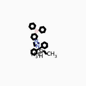 CC=C[SiH](C)C(c1ccccc1)(c1ccccc1)n1ccnc1.c1ccc(B(c2ccccc2)c2ccccc2)cc1